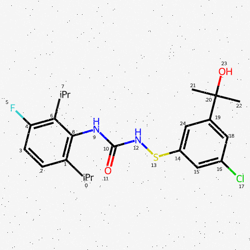 CC(C)c1ccc(F)c(C(C)C)c1NC(=O)NSc1cc(Cl)cc(C(C)(C)O)c1